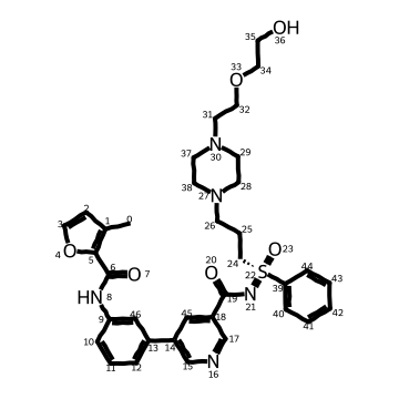 Cc1ccoc1C(=O)Nc1cccc(-c2cncc(C(=O)N=[S@](=O)(CCCN3CCN(CCOCCO)CC3)c3ccccc3)c2)c1